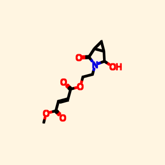 COC(=O)/C=C/C(=O)OCCN1C(=O)C2CC2C1O